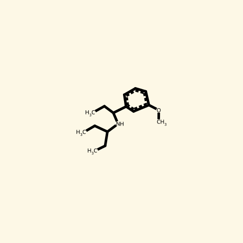 CCC(CC)NC(CC)c1cccc(OC)c1